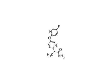 CC(C(N)=O)c1ccc(Oc2ccc(F)cn2)cn1